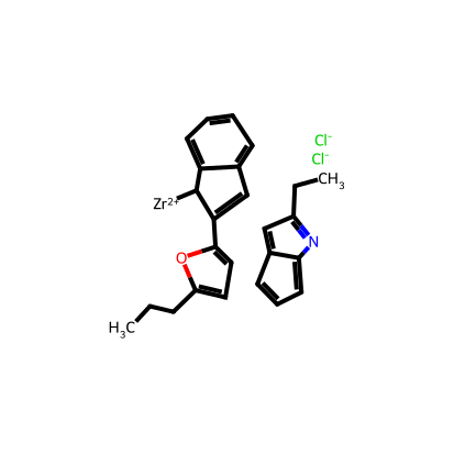 CCC1=NC2=CC=CC2=C1.CCCc1ccc(C2=Cc3ccccc3[CH]2[Zr+2])o1.[Cl-].[Cl-]